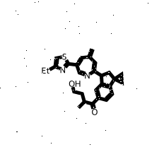 C=C1C=C(c2nc(CC)cs2)C=NC(C2CC3(CC3)c3ccc(C(=O)C(C)CCO)cc32)=C1